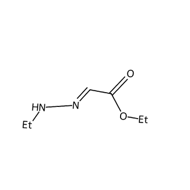 CCNN=CC(=O)OCC